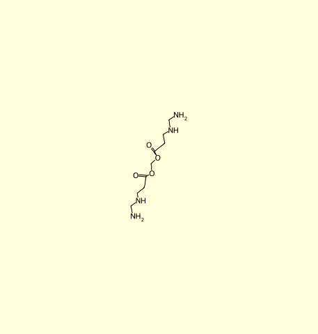 NCNCCC(=O)OCOC(=O)CCNCN